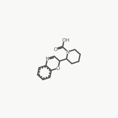 O=C(O)N1CCCCC1C1C=Nc2ccccc2O1